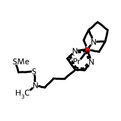 CSCSN(C)CCCc1cnc(N2C3CCC2CN(C(C)C)C3)nc1